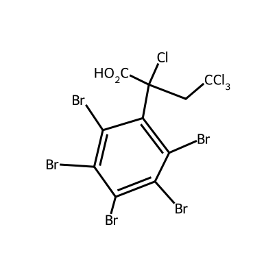 O=C(O)C(Cl)(CC(Cl)(Cl)Cl)c1c(Br)c(Br)c(Br)c(Br)c1Br